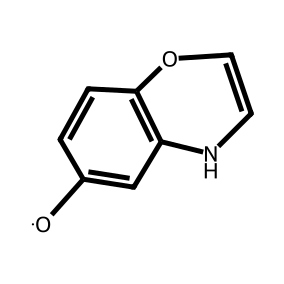 [O]c1ccc2c(c1)NC=CO2